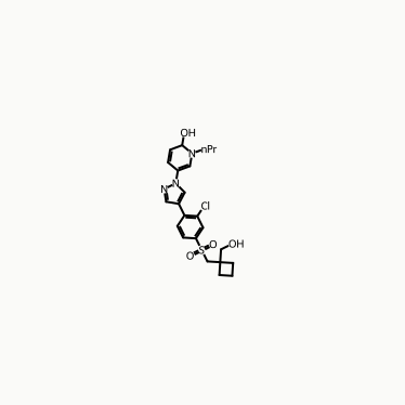 CCCN1C=C(n2cc(-c3ccc(S(=O)(=O)CC4(CO)CCC4)cc3Cl)cn2)C=CC1O